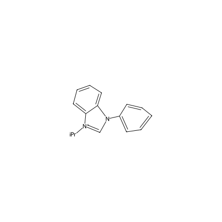 CC(C)[n+]1cn(-c2ccccc2)c2ccccc21